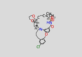 C[C@@H]1[C@@H](C)CCCC2(C3OCCCO3)C3C[C@@H](CN4CCCCc5cc(Cl)ccc5COc5ccc(cc54)C(=O)NS1(=O)=O)[C@@H]32